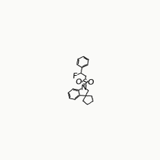 O=S(=O)(CC(F)c1ccccc1)N1CC2(CCCC2)c2ccccc21